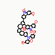 COc1ccc2c(c1)N(c1ccc3c(=O)c4c(ccc3c1)ccc1ccc3cc(-c5ccc6c(c5)c5cc(OC)ccc5n6OC)cc(-c5ccc6c(c5)c5cc(OC)ccc5n6OC)c3c(=O)c14)c1cc(OC)ccc1O2